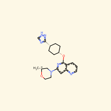 C[C@@H]1CN(c2cc3ncccc3c(O[C@H]3CC[C@@H](c4nc[nH]n4)CC3)n2)CCO1